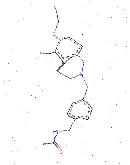 CCOc1ccc2c(c1C)CCN(Cc1ccc(CNC(C)=O)cc1)C2